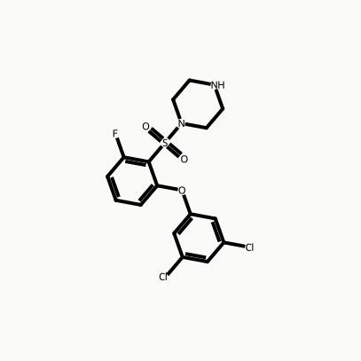 O=S(=O)(c1c(F)cccc1Oc1cc(Cl)cc(Cl)c1)N1CCNCC1